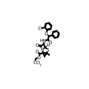 CC12CC1(C(=O)OCC(Cl)(Cl)Cl)N1C(=O)C(NC(=O)C(Oc3ccccc3Cl)c3ccccc3)[C@H]1S2